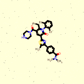 CCc1cccc(CC)c1-n1c(CC(C)C)c(C(=O)N2CCNCC2)cc(-c2nc(-c3ccc(C(=O)N(C)C)cc3)c(C)s2)c1=O